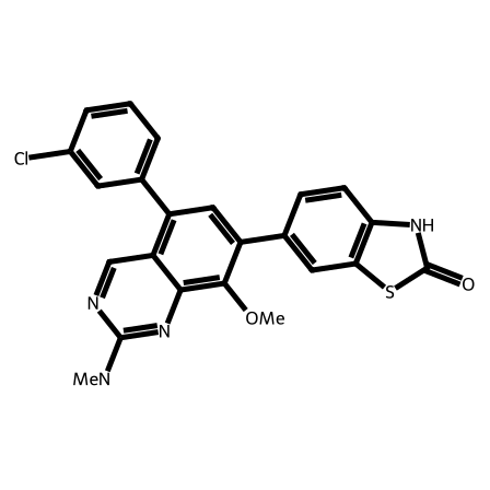 CNc1ncc2c(-c3cccc(Cl)c3)cc(-c3ccc4[nH]c(=O)sc4c3)c(OC)c2n1